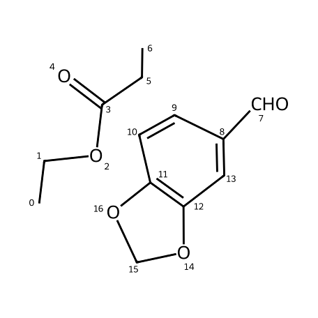 CCOC(=O)CC.O=Cc1ccc2c(c1)OCO2